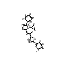 Cc1cc(-c2nnc(C(C)Sc3nnc(-c4cccnc4)n3C3CC3)o2)ccn1